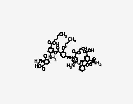 CCCCOC(=O)c1ccc(N)cc1.CCCCOc1cc(N)ccc1C(=O)O.CCOC(=O)c1ccc(N)cc1.Nc1c(Cl)cccc1C(=O)O.Nc1cc(C(=O)O)cc(S(N)(=O)=O)c1Oc1ccccc1